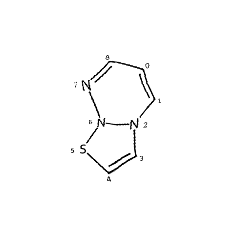 C1=CN2C=CSN2N=C1